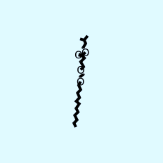 CCCCCCCCCCCCOCCOCCCC(=O)OCCC(C)C